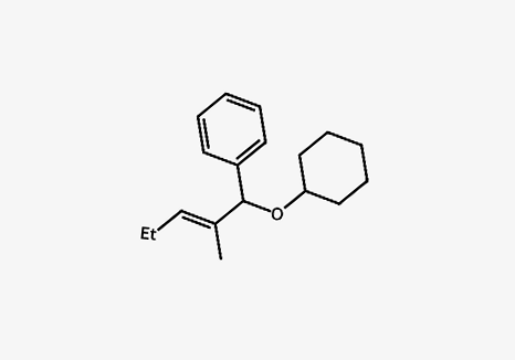 CC/C=C(\C)C(OC1CCCCC1)c1ccccc1